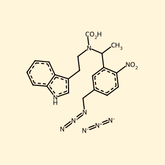 CC(c1cc(CN=[N+]=[N-])ccc1[N+](=O)[O-])N(CCc1c[nH]c2ccccc12)C(=O)O.[N-]=[N+]=[N-]